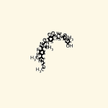 COCCn1cc(-c2ccc(-c3cnc(C(=O)Nc4ccc(C(=O)N5CCN(C(=O)C[N+]6(C)CC[C@@H](O)C6)CC5)c(Cl)c4)n3C)c(F)c2F)c(C)n1